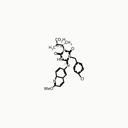 COC1=NC2C=CC(/N=c3\[nH]c(=O)n([C@@H](C)[C@@H](C)C(=O)O)c(=O)n3Cc3ccc(Cl)cc3)=CC2C=C1